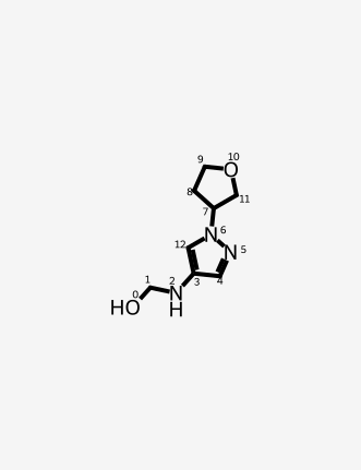 OCNc1cnn(C2CCOC2)c1